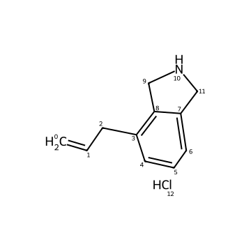 C=CCc1cccc2c1CNC2.Cl